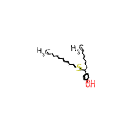 CCCCCCCCCCCCSCC(CCCCCCCC)c1ccc(O)cc1